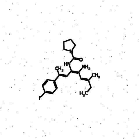 CC/C(C)=C/C(N)=C(\C=C(/C)c1ccc(F)cc1)NC(=O)N1CCCC1